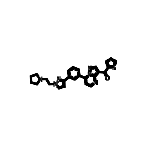 O=C(c1cccs1)c1cnn2c(-c3cccc(-c4ccn(CCN5CCCC5)n4)c3)ccnc12